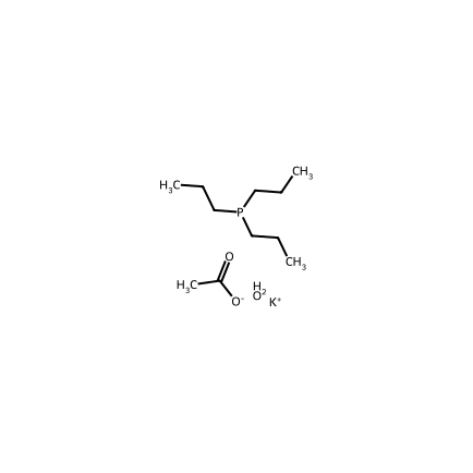 CC(=O)[O-].CCCP(CCC)CCC.O.[K+]